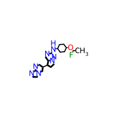 CC(F)OC1CCC(Nc2ncc3c(-c4cnc5nccn5c4)ccn3n2)CC1